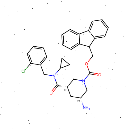 N[C@@H]1C[C@H](C(=O)N(Cc2ccccc2Cl)C2CC2)CN(C(=O)OCC2c3ccccc3-c3ccccc32)C1